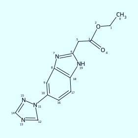 CCOC(=O)Cc1nc2cc(-n3cncn3)ccc2[nH]1